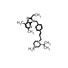 CCc1nc2c(C)cc(C)nc2n1Cc1ccc(C=CCN2CCN(C)C[C@@H]2C(C)C)cc1